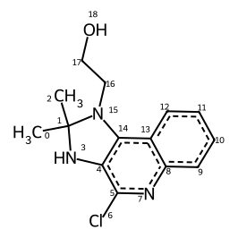 CC1(C)Nc2c(Cl)nc3ccccc3c2N1CCO